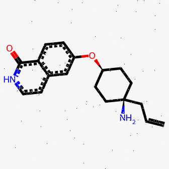 C=CC[C@]1(N)CC[C@@H](Oc2ccc3c(=O)[nH]ccc3c2)CC1